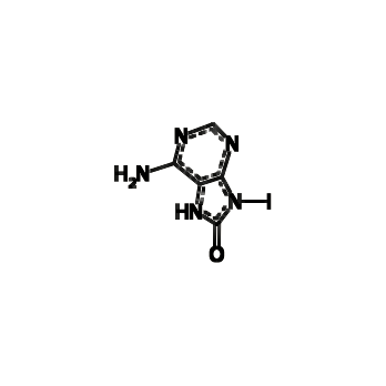 Nc1ncnc2c1[nH]c(=O)n2I